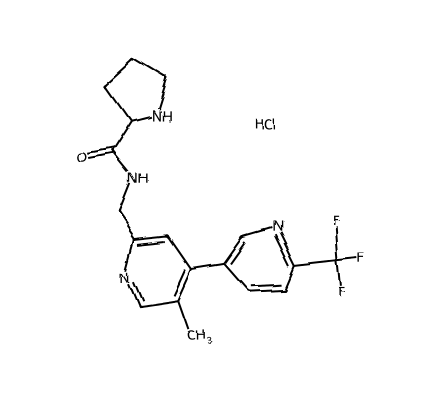 Cc1cnc(CNC(=O)C2CCCN2)cc1-c1ccc(C(F)(F)F)nc1.Cl